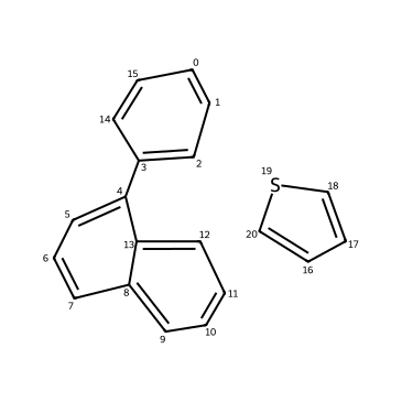 c1ccc(-c2cccc3ccccc23)cc1.c1ccsc1